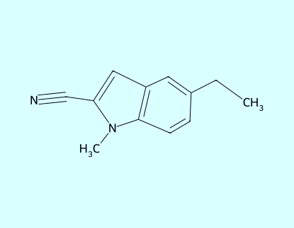 CCc1ccc2c(c1)cc(C#N)n2C